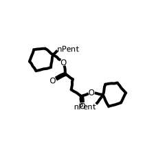 CCCCCC1(OC(=O)CCC(=O)OC2(CCCCC)CCCCC2)CCCCC1